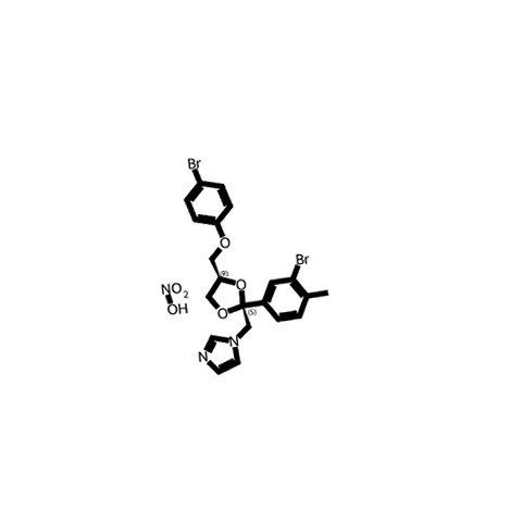 Cc1ccc([C@]2(Cn3ccnc3)OC[C@@H](COc3ccc(Br)cc3)O2)cc1Br.O=[N+]([O-])O